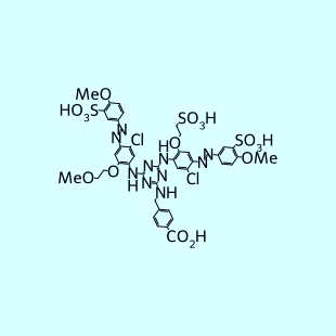 COCCOc1cc(N=Nc2ccc(OC)c(S(=O)(=O)O)c2)c(Cl)cc1Nc1nc(NCc2ccc(C(=O)O)cc2)nc(Nc2cc(Cl)c(N=Nc3ccc(OC)c(S(=O)(=O)O)c3)cc2OCCS(=O)(=O)O)n1